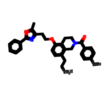 COc1ccc(C(=O)N2CCc3c(OCCc4nc(-c5ccccc5)oc4C)ccc(CCC(=O)O)c3C2)cc1